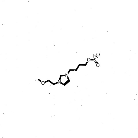 COCCN1C=CN(CCCCO[SH](=O)=O)C1